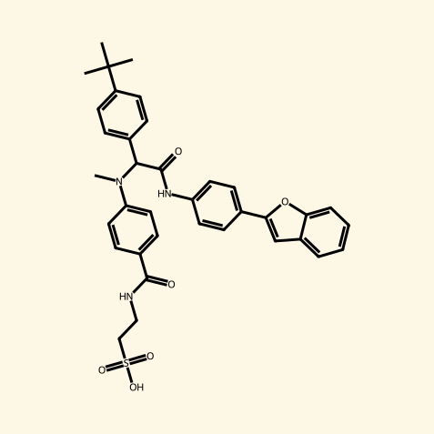 CN(c1ccc(C(=O)NCCS(=O)(=O)O)cc1)C(C(=O)Nc1ccc(-c2cc3ccccc3o2)cc1)c1ccc(C(C)(C)C)cc1